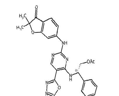 CC(=O)OC[C@@H](Nc1nc(Nc2ccc3c(c2)OC(C)(C)C3=O)ncc1-c1nnco1)c1ccccc1